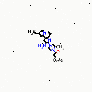 C=Cc1ccnc(-c2cc(N)c(N3CCN(C(=O)CCOC)[C@H](C)C3)nc2C2CC2)c1